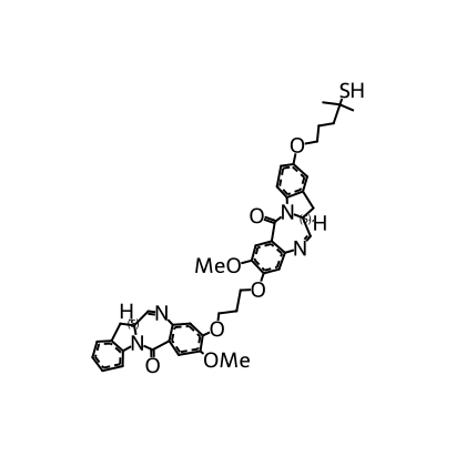 COc1cc2c(cc1OCCCOc1cc3c(cc1OC)C(=O)N1c4ccc(OCCCC(C)(C)S)cc4C[C@H]1C=N3)N=C[C@@H]1Cc3ccccc3N1C2=O